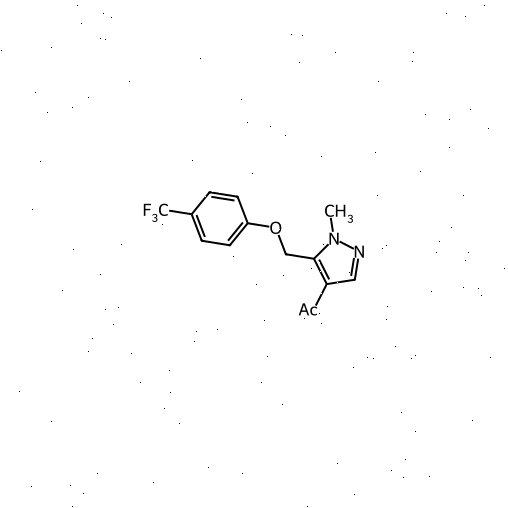 CC(=O)c1cnn(C)c1COc1ccc(C(F)(F)F)cc1